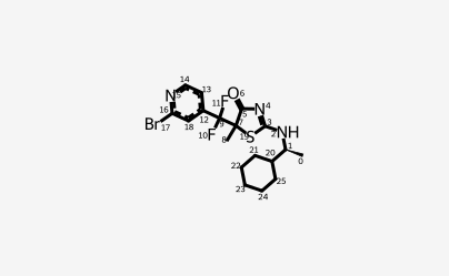 C[C@H](NC1=NC(=O)C(C)(C(F)(F)c2ccnc(Br)c2)S1)C1CCCCC1